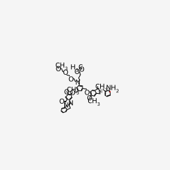 COCCOCCOCCN(CCCC(=O)OC)c1cc(COc2cc3c(cc2OC)C[C@@H](Cc2ccccc2N)C3C)cc(COc2cc3nc4n(c(=O)c3cc2OC)-c2ccccc2C4)c1